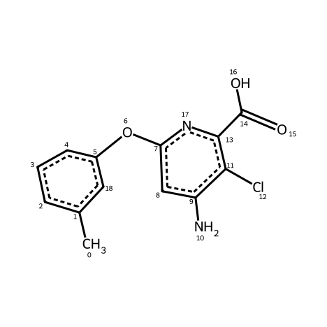 Cc1cccc(Oc2cc(N)c(Cl)c(C(=O)O)n2)c1